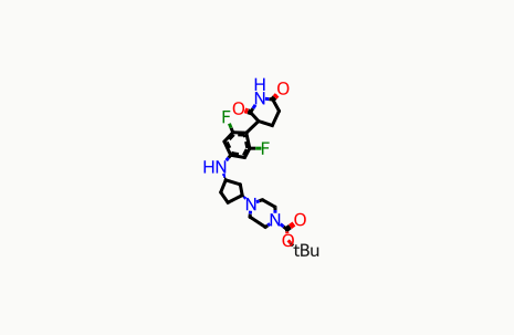 CC(C)(C)OC(=O)N1CCN([C@H]2CC[C@@H](Nc3cc(F)c(C4CCC(=O)NC4=O)c(F)c3)C2)CC1